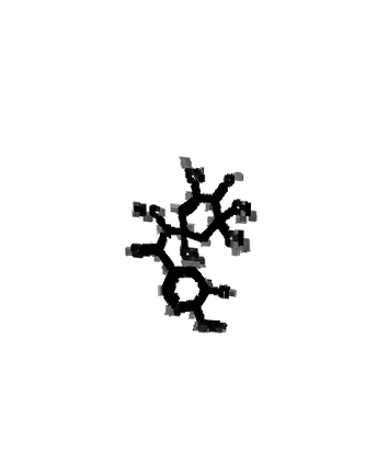 COc1ncc(C(=O)N(C)[C@]2(C)C=C(C#N)C(=O)C(C)(C)C2)cc1Cl